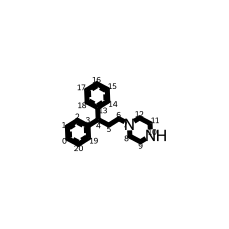 c1ccc(C(CCN2CCNCC2)c2ccccc2)cc1